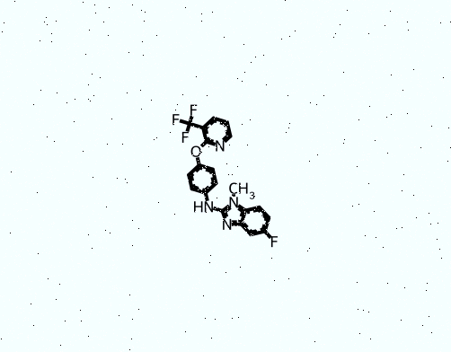 Cn1c(Nc2ccc(Oc3ncccc3C(F)(F)F)cc2)nc2cc(F)ccc21